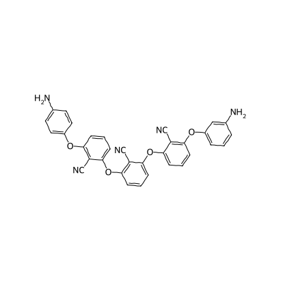 N#Cc1c(Oc2ccc(N)cc2)cccc1Oc1cccc(Oc2cccc(Oc3cccc(N)c3)c2C#N)c1C#N